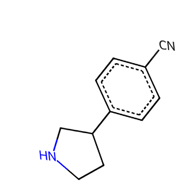 N#Cc1ccc(C2CCNC2)cc1